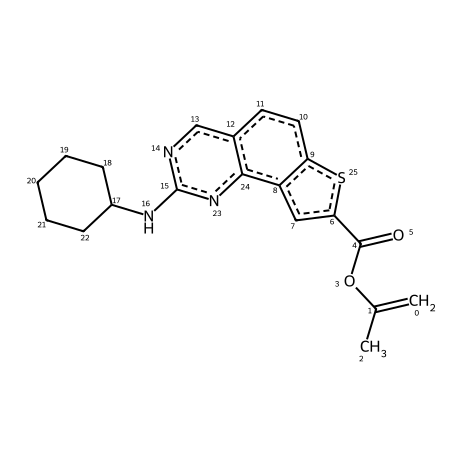 C=C(C)OC(=O)c1cc2c(ccc3cnc(NC4CCCCC4)nc32)s1